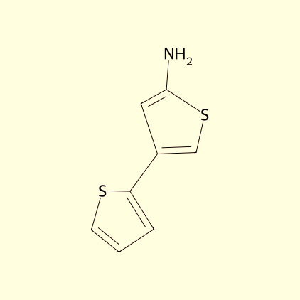 Nc1cc(-c2cccs2)cs1